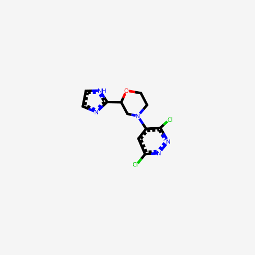 Clc1cc(N2CCOC(c3ncc[nH]3)C2)c(Cl)nn1